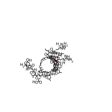 CC[C@H](C)C(NN[C@@H](CCCNC(N)N)C(=O)NC(C(=O)NC1(C)CCCC=CCCCC(C)(C(=O)C(=O)[C@H](CCC(=O)O)NC(=O)[C@@H](NC(=O)CNC(=O)[C@H](CC(=O)O)NN)C(C)C)NC(=O)C(N[C@H](C=O)CC(C)C)NC(=O)C(N[C@H](C=O)CC(C)C)NC(=O)C(C(=O)[C@@H](N)CCCNC(N)N)NC1=O)[C@@H](C)CC)C(=O)NC(C(=O)C(=O)[C@@H](N)CC(=O)O)[C@@H](C)CC